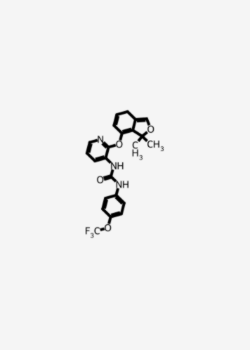 CC1(C)OC=C2CC=CC(Oc3ncccc3NC(=O)Nc3ccc(OC(F)(F)F)cc3)=C21